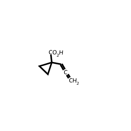 C=C=CC1(C(=O)O)CC1